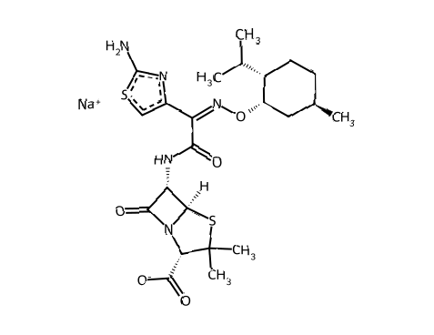 CC(C)[C@@H]1CC[C@@H](C)C[C@@H]1O/N=C(\C(=O)N[C@H]1C(=O)N2[C@@H]1SC(C)(C)[C@@H]2C(=O)[O-])c1csc(N)n1.[Na+]